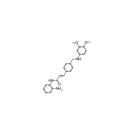 COc1ccc(NCc2ccc(/C=C/C(=O)Nc3ccccc3N)cc2)cc1OC